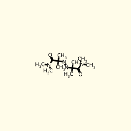 CN(C)C(=O)C(C)(C)N=NC(C)(C)C(=O)N(C)C